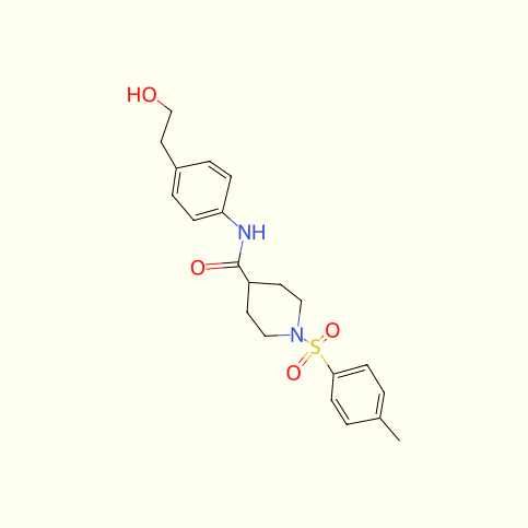 Cc1ccc(S(=O)(=O)N2CCC(C(=O)Nc3ccc(CCO)cc3)CC2)cc1